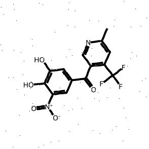 Cc1cc(C(F)(F)F)c(C(=O)c2cc(O)c(O)c([N+](=O)[O-])c2)cn1